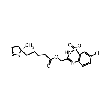 C[C@@]1(CCCCC(=O)OCC2=Nc3ccc(Cl)cc3S(=O)(=O)N2)CCSS1